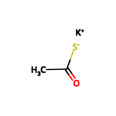 CC(=O)[S-].[K+]